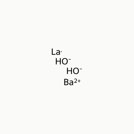 [Ba+2].[La].[OH-].[OH-]